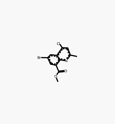 COC(=O)c1cc(Br)cc2c(Cl)cc(C)nc12